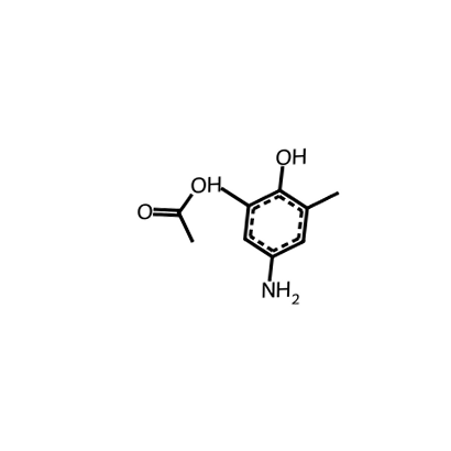 CC(=O)O.Cc1cc(N)cc(C)c1O